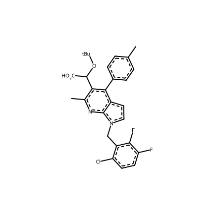 Cc1ccc(-c2c(C(OC(C)(C)C)C(=O)O)c(C)nc3c2ccn3Cc2c(Cl)ccc(F)c2F)cc1